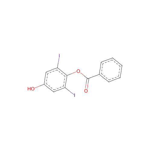 O=C(Oc1c(I)cc(O)cc1I)c1ccccc1